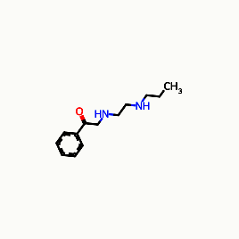 CCCNCCNCC(=O)c1ccccc1